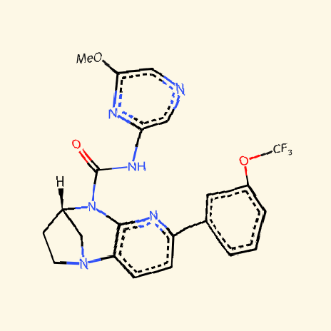 COc1cncc(NC(=O)N2c3nc(-c4cccc(OC(F)(F)F)c4)ccc3N3CC[C@H]2C3)n1